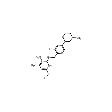 CCOC1=NC(C)=C([N+](=O)[O-])C(NCc2ccc(C3CN(C)CCO3)cc2F)N1